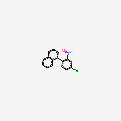 O=[N+]([O-])c1cc(Br)ccc1-c1cccc2ccccc12